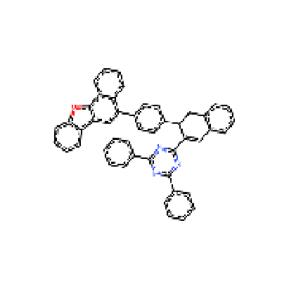 C1=C(c2nc(-c3ccccc3)nc(-c3ccccc3)n2)C(c2ccc(-c3cc4c5ccccc5oc4c4ccccc34)cc2)Cc2ccccc21